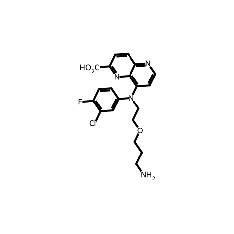 NCCCOCCN(c1ccc(F)c(Cl)c1)c1ccnc2ccc(C(=O)O)nc12